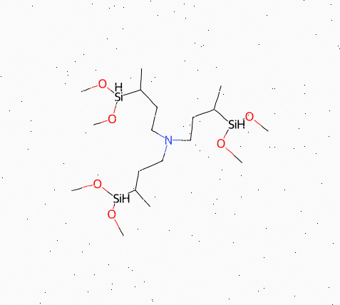 CO[SiH](OC)C(C)CCN(CCC(C)[SiH](OC)OC)CCC(C)[SiH](OC)OC